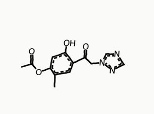 CC(=O)Oc1cc(O)c(C(=O)Cn2cncn2)cc1C